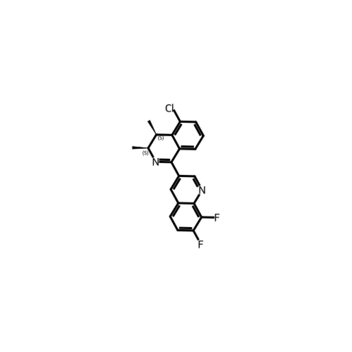 C[C@@H]1N=C(c2cnc3c(F)c(F)ccc3c2)c2cccc(Cl)c2[C@@H]1C